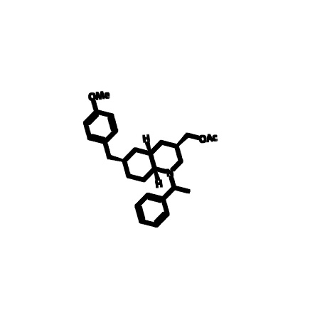 COc1ccc(C[C@@H]2CC[C@@H]3[C@@H](C[C@@H](COC(C)=O)CN3C(C)c3ccccc3)C2)cc1